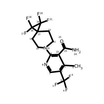 Cc1c(C(F)(F)F)cnc(N2CCC3(CC2)C(F)(F)C3(F)F)c1C(N)=O